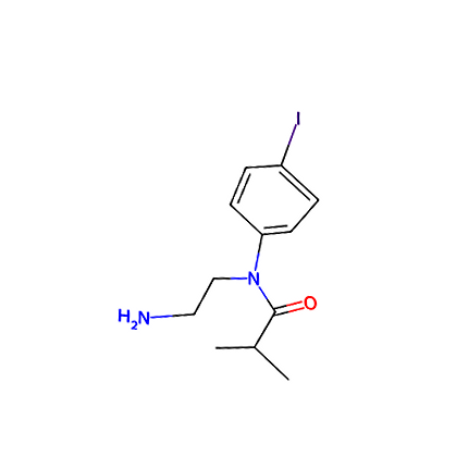 CC(C)C(=O)N(CCN)c1ccc(I)cc1